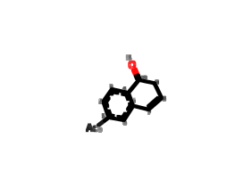 CC(=O)c1ccc2c(c1)C=CCC2=O